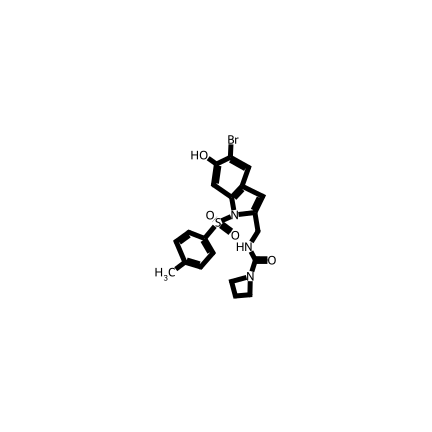 Cc1ccc(S(=O)(=O)n2c(CNC(=O)N3CCC3)cc3cc(Br)c(O)cc32)cc1